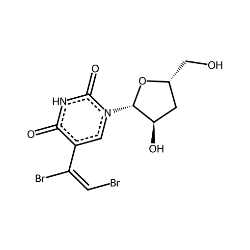 O=c1[nH]c(=O)n([C@@H]2O[C@H](CO)C[C@H]2O)cc1/C(Br)=C\Br